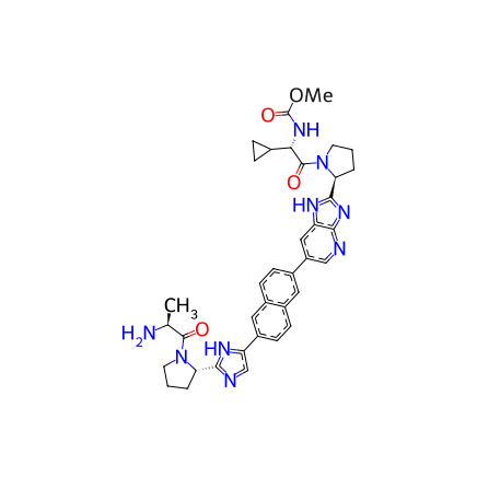 COC(=O)N[C@H](C(=O)N1CCC[C@H]1c1nc2ncc(-c3ccc4cc(-c5cnc([C@@H]6CCCN6C(=O)[C@H](C)N)[nH]5)ccc4c3)cc2[nH]1)C1CC1